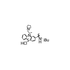 CC[C@@H](C)CNC(=S)c1ccc2c(c1)N([C@H](C)CN1CCCC1)c1ccccc1S2.Cl